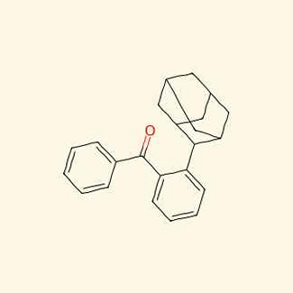 O=C(c1ccccc1)c1ccccc1C1C2CC3CC(C2)CC1C3